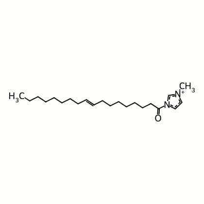 CCCCCCCCC=CCCCCCCCC(=O)n1cc[n+](C)c1